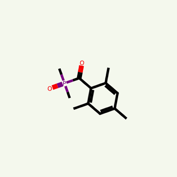 Cc1cc(C)c(C(=O)P(C)(C)=O)c(C)c1